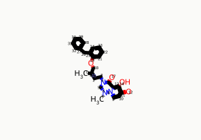 C/C(=C/CN1CN(C)n2ccc(=O)c(O)c2C1=O)COc1ccccc1Cc1ccccc1